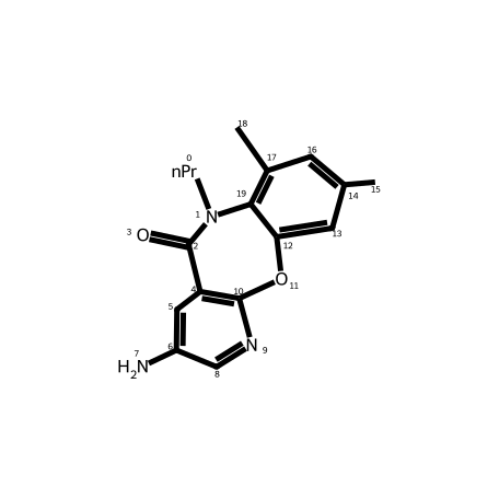 CCCN1C(=O)c2cc(N)cnc2Oc2cc(C)cc(C)c21